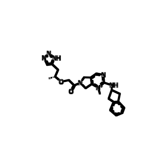 C[C@H](Cc1cnn[nH]1)OCC(=O)N1Cc2cnc(NC3Cc4ccccc4C3)[n+](C)c2C1